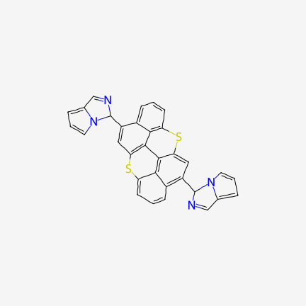 C1=NC(c2cc3sc4cccc5c(C6N=Cc7cccn76)cc6sc7cccc2c7c3-c6c45)n2cccc21